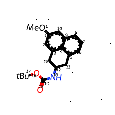 COc1cc2c3c(cccc3c1)CC(NC(=O)OC(C)(C)C)C2